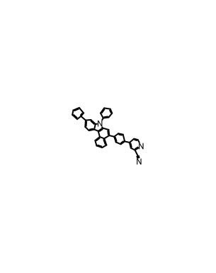 N#Cc1cc(-c2ccc(-c3cc4c(c5ccccc35)c3ccc(-c5ccccc5)cc3n4-c3ccccc3)cc2)ccn1